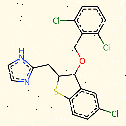 Clc1ccc2c(c1)C(OCc1c(Cl)cccc1Cl)C(Cc1ncc[nH]1)S2